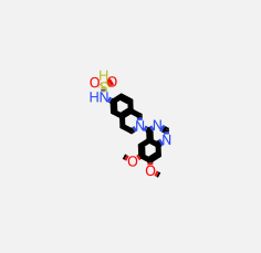 COc1cc2ncnc(N3CCc4cc(N[SH](=O)=O)ccc4C3)c2cc1OC